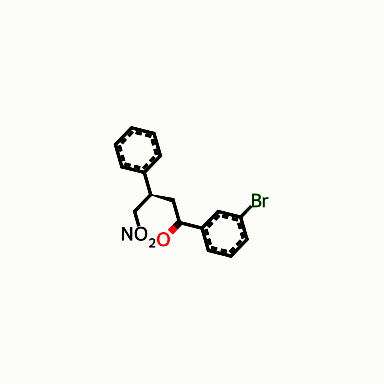 O=C(C[C@@H](C[N+](=O)[O-])c1ccccc1)c1cccc(Br)c1